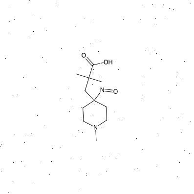 CN1CCC(CC(C)(C)C(=O)O)(N=O)CC1